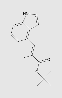 C/C(=C\c1cccc2[nH]ccc12)C(=O)OC(C)(C)C